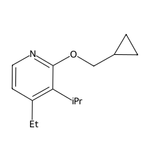 CCc1ccnc(OCC2CC2)c1C(C)C